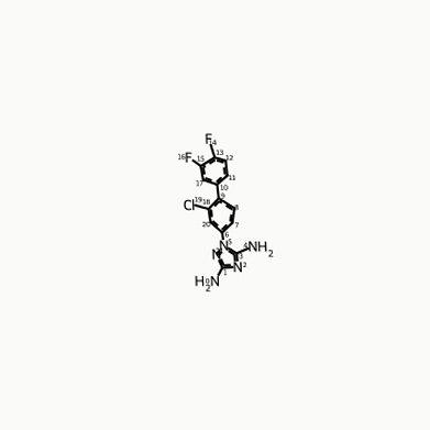 Nc1nc(N)n(-c2ccc(-c3ccc(F)c(F)c3)c(Cl)c2)n1